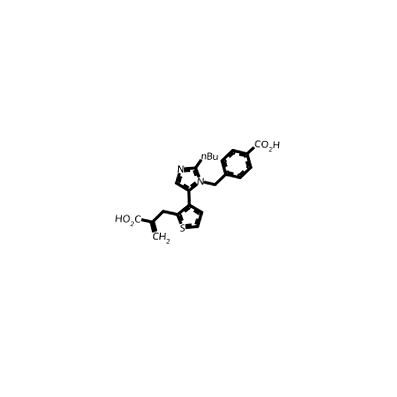 C=C(Cc1sccc1-c1cnc(CCCC)n1Cc1ccc(C(=O)O)cc1)C(=O)O